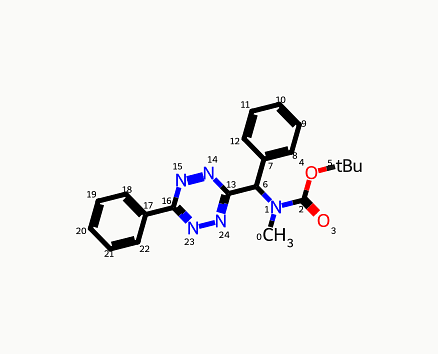 CN(C(=O)OC(C)(C)C)C(c1ccccc1)c1nnc(-c2ccccc2)nn1